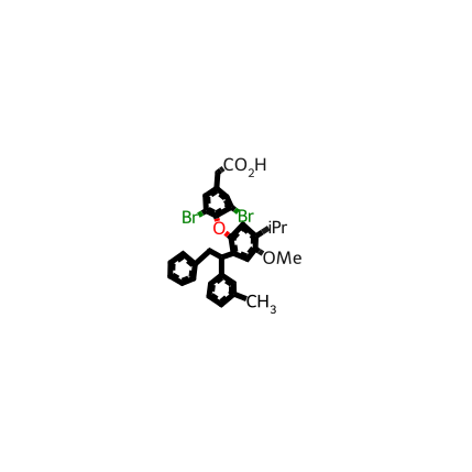 COc1cc(C(Cc2ccccc2)c2cccc(C)c2)c(Oc2c(Br)cc(CC(=O)O)cc2Br)cc1C(C)C